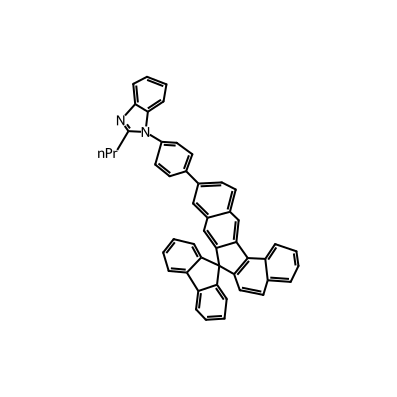 CCCc1nc2ccccc2n1-c1ccc(-c2ccc3cc4c(cc3c2)C2(c3ccccc3-c3ccccc32)c2ccc3ccccc3c2-4)cc1